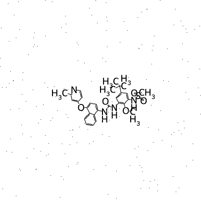 COc1c(NC(=O)Nc2ccc(Oc3ccnc(C)c3)c3ccccc23)cc(C(C)(C)C)cc1NS(C)(=O)=O